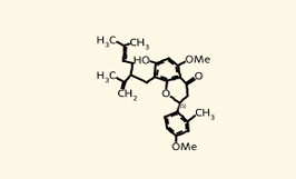 C=C(C)C(CC=C(C)C)Cc1c(O)cc(OC)c2c1O[C@H](c1ccc(OC)cc1C)CC2=O